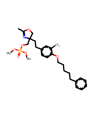 CC1=NC(CCc2ccc(OCCCCCc3ccccc3)c(C(F)(F)F)c2)(COP(=O)(OC(C)(C)C)OC(C)(C)C)CO1